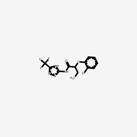 CCC(Oc1ccccc1Cl)C(=O)Nc1nnc(C(F)(F)F)[nH]1